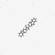 O=C(C(=O)c1ccc2c(c1)oc1ccccc12)c1ccc2c(c1)oc1ccccc12